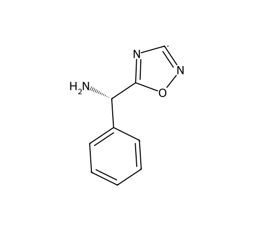 N[C@@H](c1ccccc1)c1n[c]no1